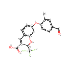 Cc1cc(C=O)ccc1Oc1ccc2c(c1)OC(C(F)(F)F)C(C(=O)O)=C2